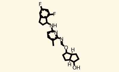 Cc1ccc(NC2CCc3cc(F)cc(F)c32)nc1/N=C/OC1CC[C@@H]2C(O)CC[C@H]12